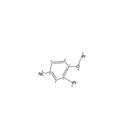 [CH2]C(C)c1cc(C#N)ccc1OC(C)C